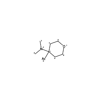 CC(=O)C1(N(C)C)CCOCC1